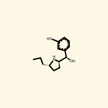 CCC[C@H]1CC[C@H]([C@H](O)c2cccc(O)c2)N1